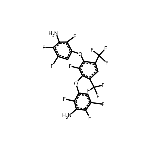 Nc1c(F)c(F)cc(Oc2c(C(F)(F)F)cc(C(F)(F)F)c(Oc3cc(F)c(F)c(N)c3F)c2F)c1F